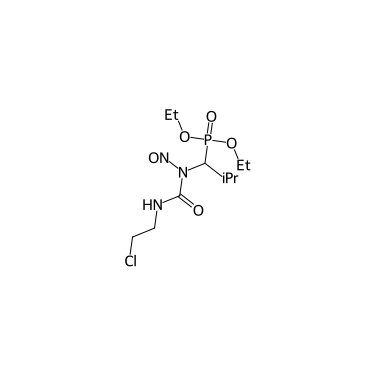 CCOP(=O)(OCC)C(C(C)C)N(N=O)C(=O)NCCCl